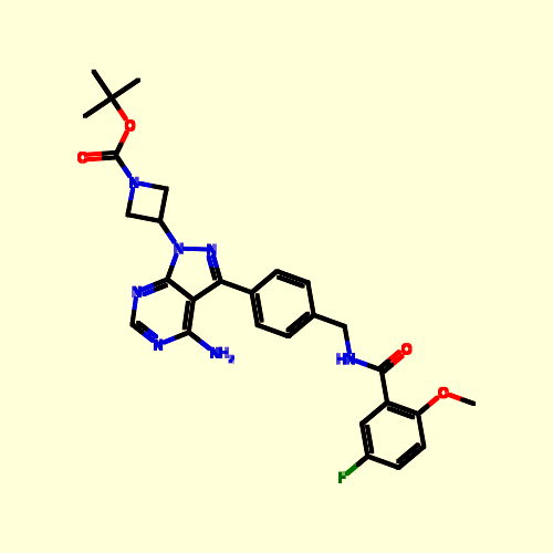 COc1ccc(F)cc1C(=O)NCc1ccc(-c2nn(C3CN(C(=O)OC(C)(C)C)C3)c3ncnc(N)c23)cc1